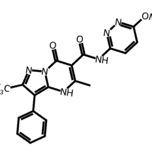 COc1ccc(NC(=O)c2c(C)[nH]c3c(-c4ccccc4)c(C(F)(F)F)nn3c2=O)nn1